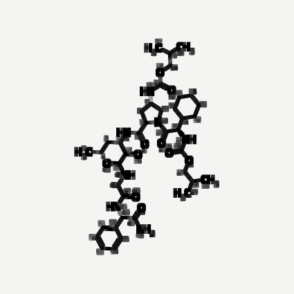 CCCC(NC(=O)C1C[C@H](NC(=O)OCC(C)C)CN1C(=O)[C@H](NC(=O)OCC(C)C)C1CCCCC1)C(=O)C(=O)NCC(=O)N[C@H](C(N)=O)c1ccccc1